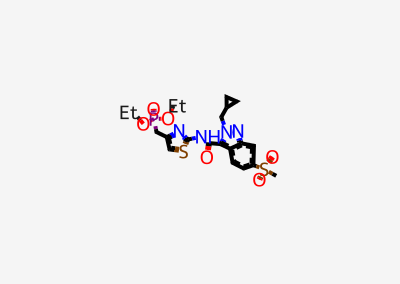 CCOP(=O)(Cc1csc(NC(=O)c2c3ccc(S(C)(=O)=O)cc3nn2CC2CC2)n1)OCC